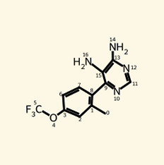 Cc1cc(OC(F)(F)F)ccc1-c1ncnc(N)c1N